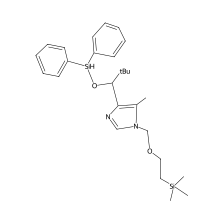 Cc1c(C(O[SiH](c2ccccc2)c2ccccc2)C(C)(C)C)ncn1COCC[Si](C)(C)C